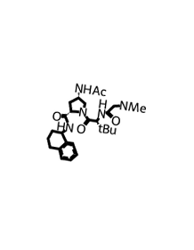 CNCC(=O)N[C@H](C(=O)N1C[C@@H](NC(C)=O)C[C@H]1C(=O)NC1CCCc2ccccc21)C(C)(C)C